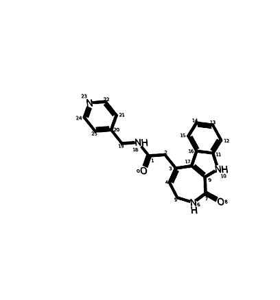 O=C(CC1=CCNC(=O)c2[nH]c3ccccc3c21)NCc1ccncc1